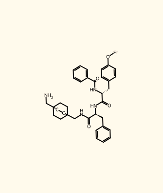 CCOc1ccc(C[C@@H](NC(=O)c2ccccc2)C(=O)N[C@@H](Cc2ccccc2)C(=O)NCC23CCC(CN)(CC2)CC3)cc1